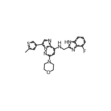 Cc1cc(-c2cnc3c(NCc4nc5c(F)cccc5[nH]4)cc(N4CCOCC4)nn23)cs1